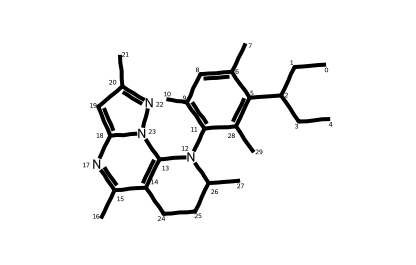 CCC(CC)c1c(C)cc(C)c(N2c3c(c(C)nc4cc(C)nn34)CCC2C)c1C